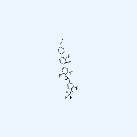 CCCC1CCC(c2ccc(-c3cc(F)c(OCc4ccc(OC(F)(F)F)c(F)c4)c(F)c3)c(F)c2F)CC1